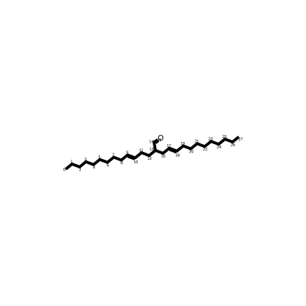 CCCCCCCCCC=CCCC([C]=O)CC=CCCCCCCCCC